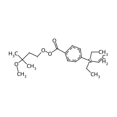 C=C[Si](CC)(CC)c1ccc(C(=O)OO[CH]CC(C)(C)OC)cc1